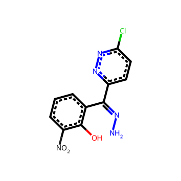 NN=C(c1ccc(Cl)nn1)c1cccc([N+](=O)[O-])c1O